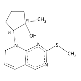 CSc1ncc2c(n1)N([C@@H]1CCC[C@@]1(C)O)CC=C2